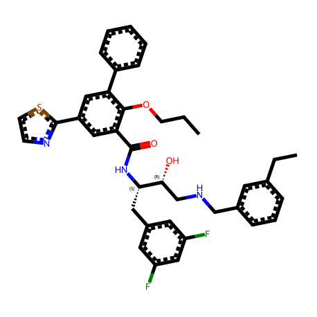 CCCOc1c(C(=O)N[C@@H](Cc2cc(F)cc(F)c2)[C@H](O)CNCc2cccc(CC)c2)cc(-c2nccs2)cc1-c1ccccc1